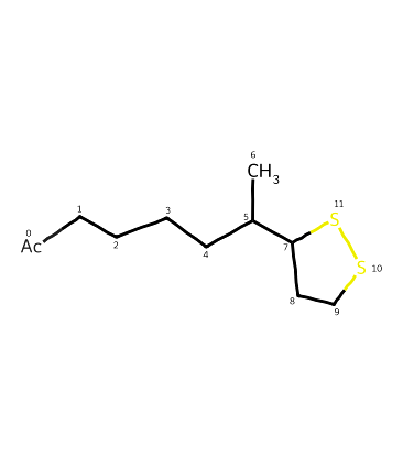 CC(=O)CCCCC(C)C1CCSS1